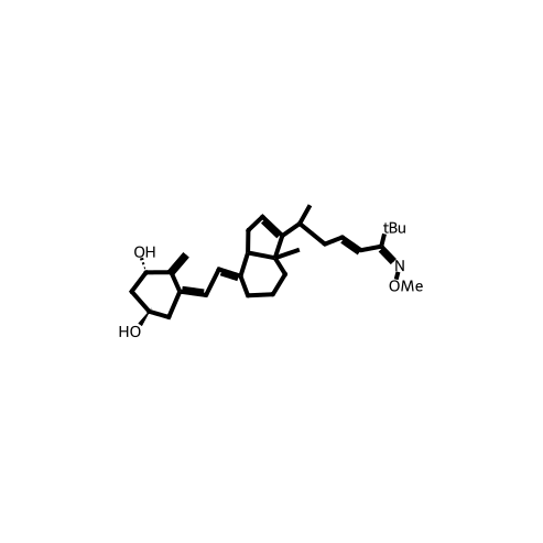 C=C1/C(=C\C=C2/CCCC3(C)C(C(C)C/C=C/C(=N\OC)C(C)(C)C)=CCC23)C[C@@H](O)C[C@@H]1O